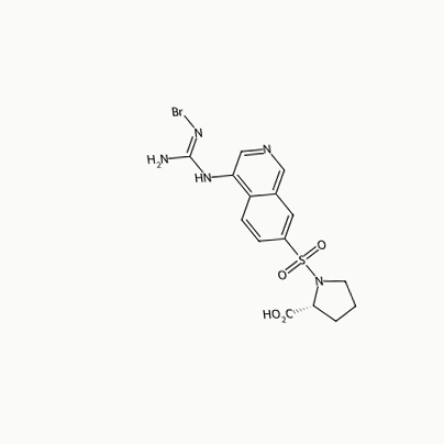 NC(=NBr)Nc1cncc2cc(S(=O)(=O)N3CCC[C@@H]3C(=O)O)ccc12